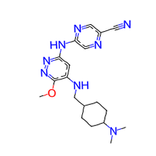 COc1nnc(Nc2cnc(C#N)cn2)cc1NCC1CCC(N(C)C)CC1